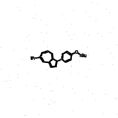 CCCCOc1ccc(-c2ccc3cc(C(C)C)cccc2-3)cc1